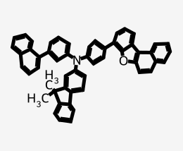 CC1(C)c2ccccc2-c2ccc(N(c3ccc(-c4cccc5c4oc4ccc6ccccc6c45)cc3)c3cccc(-c4cccc5ccccc45)c3)cc21